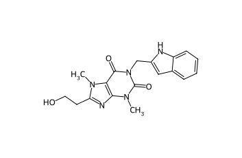 Cn1c(CCO)nc2c1c(=O)n(Cc1cc3ccccc3[nH]1)c(=O)n2C